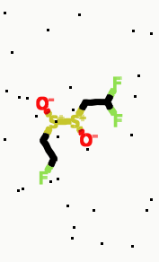 [O-][S+](CCF)[S+]([O-])CC(F)F